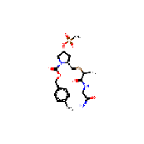 CC(SC[C@@H]1C[C@H](OS(C)(=O)=O)CN1C(=O)OCc1ccc([N+](=O)[O-])cc1)C(=O)NCC(N)=O